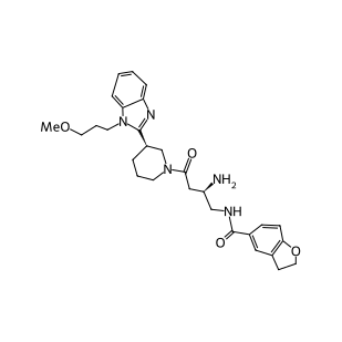 COCCCn1c([C@@H]2CCCN(C(=O)C[C@@H](N)CNC(=O)c3ccc4c(c3)CCO4)C2)nc2ccccc21